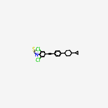 S=C=Nc1c(Cl)cc(C#Cc2ccc(C3CCC(C4CC4)CC3)cc2)cc1Cl